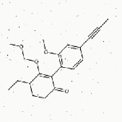 CC#Cc1ccc(C2=C(OCOC)C(CC)CCC2=O)c(OC)c1